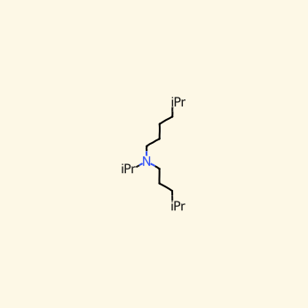 CC(C)CCCCN(CCCC(C)C)C(C)C